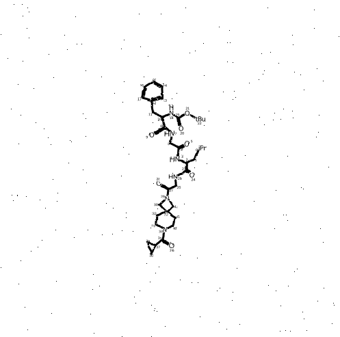 CC(C)CC(NC(=O)CNC(=O)C(Cc1ccccc1)NC(=O)OC(C)(C)C)C(=O)NCC(=O)N1CC2(CCN(C(=O)C3CC3)CC2)C1